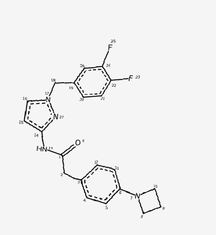 O=C(Cc1ccc(N2CCC2)cc1)Nc1ccn(Cc2ccc(F)c(F)c2)n1